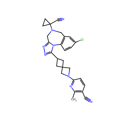 Cc1nc(N2CC3(CC(c4nnc5n4-c4ccc(Cl)cc4CN(C4(C#N)CC4)C5)C3)C2)ccc1C#N